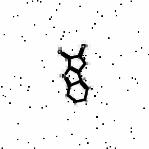 O=C1CC2=C(N=C3CCCC=C32)C1=O